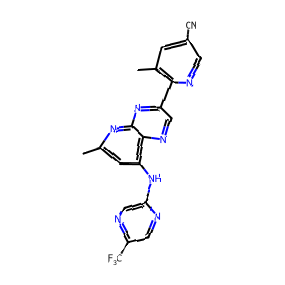 Cc1cc(Nc2cnc(C(F)(F)F)cn2)c2ncc(-c3ncc(C#N)cc3C)nc2n1